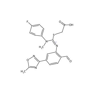 Cc1nc(-c2ccc(C=O)c(/N=C(/SCC(=O)O)N(C)c3ccc(F)cc3)c2)no1